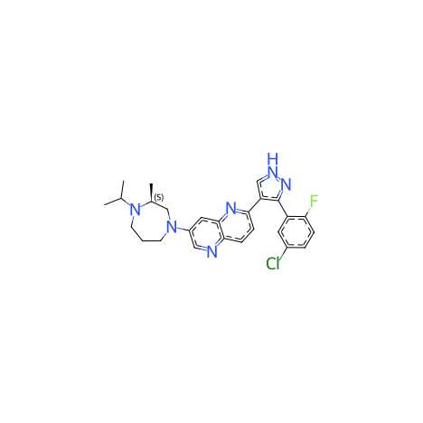 CC(C)N1CCCN(c2cnc3ccc(-c4c[nH]nc4-c4cc(Cl)ccc4F)nc3c2)C[C@@H]1C